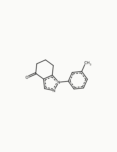 Cc1cccc(-n2ncc3c2CCCC3=O)c1